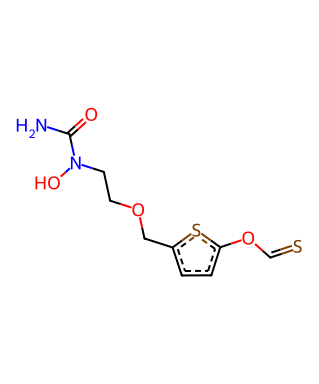 NC(=O)N(O)CCOCc1ccc(OC=S)s1